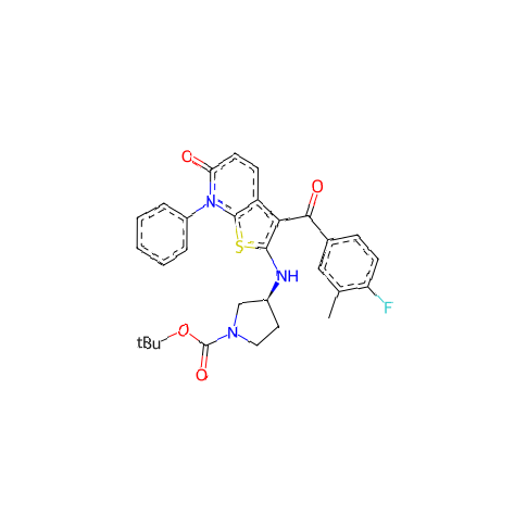 Cc1cc(C(=O)c2c(N[C@H]3CCN(C(=O)OC(C)(C)C)C3)sc3c2ccc(=O)n3-c2ccccc2)ccc1F